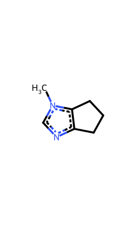 Cn1cnc2c1CCC2